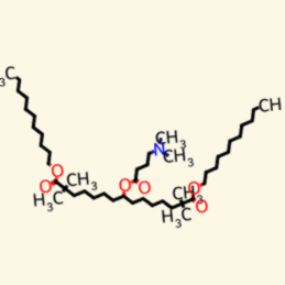 CCCCCCCCCCCOC(=O)C(C)(C)CCCCCC(CCCCCC(C)(C)C(=O)OCCCCCCCCCCC)OC(=O)CCCN(C)C